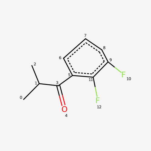 CC(C)C(=O)c1cccc(F)c1F